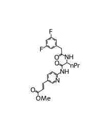 CCCC(NC(=O)Cc1cc(F)cc(F)c1)C(=O)Nc1ccc(/C=C/C(=O)OC)cn1